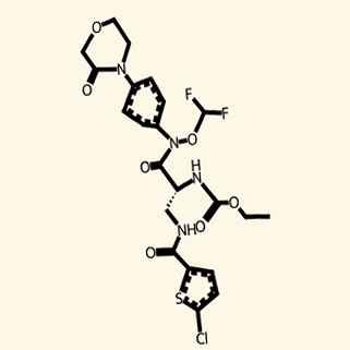 CCOC(=O)N[C@H](CNC(=O)c1ccc(Cl)s1)C(=O)N(OC(F)F)c1ccc(N2CCOCC2=O)cc1